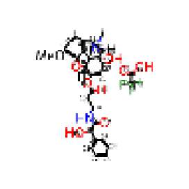 COc1ccc2c3c1O[C@H]1C(OC(=O)CCNC(=O)C(O)c4ccccc4)=CC[C@@]4(O)[C@@H](C2)N(C)CC[C@]314.O=C(O)C(F)(F)F